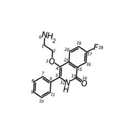 NCCOc1c(-c2ccccc2)[nH]c(=O)c2cc(F)ccc12